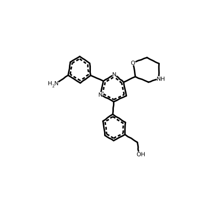 Nc1cccc(-c2nc(-c3cccc(CO)c3)cc(C3CNCCO3)n2)c1